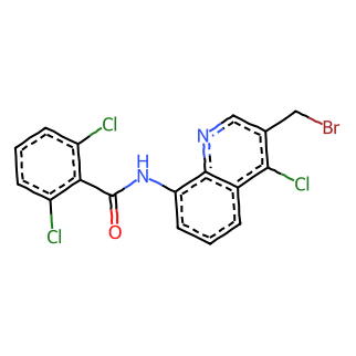 O=C(Nc1cccc2c(Cl)c(CBr)cnc12)c1c(Cl)cccc1Cl